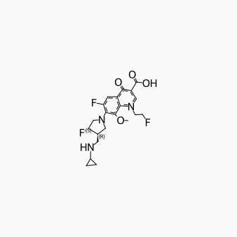 COc1c(N2C[C@@H](CNC3CC3)[C@H](F)C2)c(F)cc2c(=O)c(C(=O)O)cn(CCF)c12